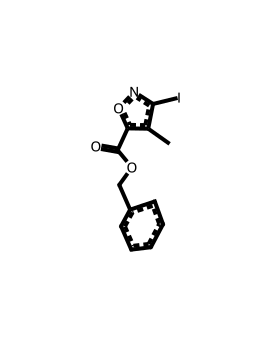 Cc1c(I)noc1C(=O)OCc1ccccc1